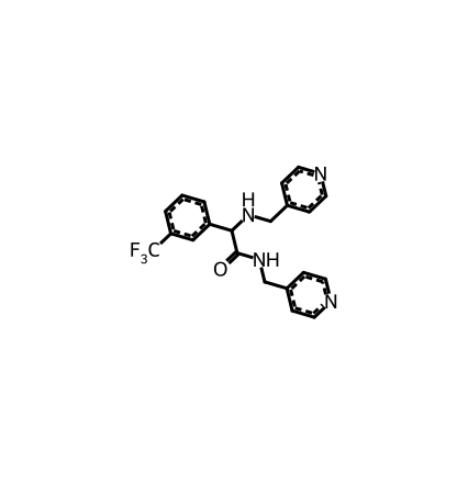 O=C(NCc1ccncc1)C(NCc1ccncc1)c1cccc(C(F)(F)F)c1